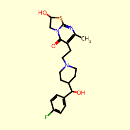 Cc1nc2n(c(=O)c1CCN1CCC(C(O)c3ccc(F)cc3)CC1)CC(O)S2